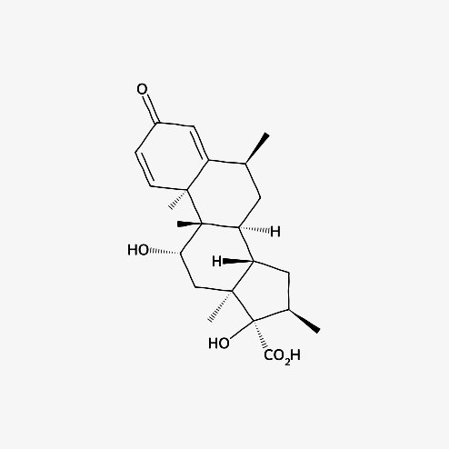 C[C@@H]1C[C@H]2[C@@H]3C[C@H](C)C4=CC(=O)C=C[C@]4(C)[C@@]3(C)[C@@H](O)C[C@]2(C)[C@@]1(O)C(=O)O